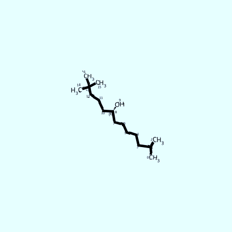 CC(C)CCCCC[C@@H](O)CCCC(C)(C)C